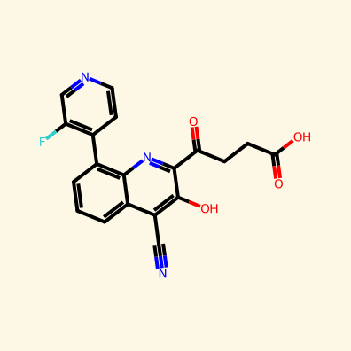 N#Cc1c(O)c(C(=O)CCC(=O)O)nc2c(-c3ccncc3F)cccc12